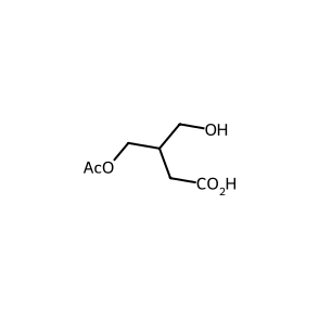 CC(=O)OCC(CO)CC(=O)O